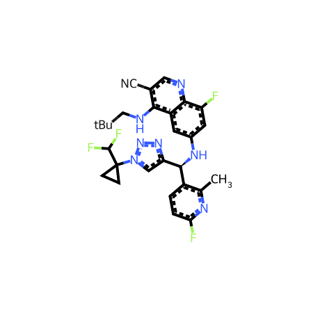 Cc1nc(F)ccc1[C@H](Nc1cc(F)c2ncc(C#N)c(NCC(C)(C)C)c2c1)c1cn(C2(C(F)F)CC2)nn1